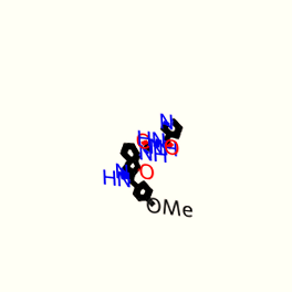 COc1ccc(-c2[nH]nc3c2C(=O)c2c(NC(=O)NNC(=O)c4cccnc4)cccc2-3)cc1